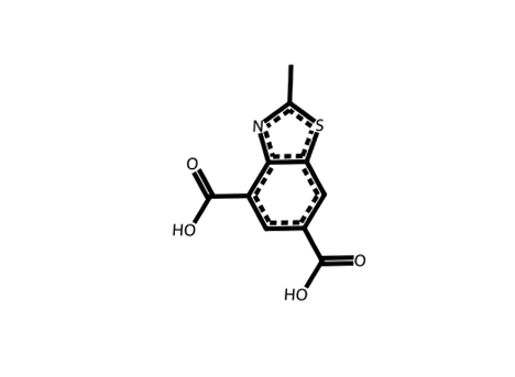 Cc1nc2c(C(=O)O)cc(C(=O)O)cc2s1